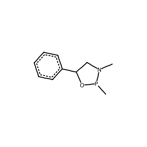 CN1CC(c2ccccc2)OP1C